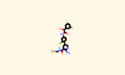 CCNC(=O)c1cc(-c2ccc(NC(=O)C(O)c3cc(F)cc(F)c3)cc2Cl)cnc1N